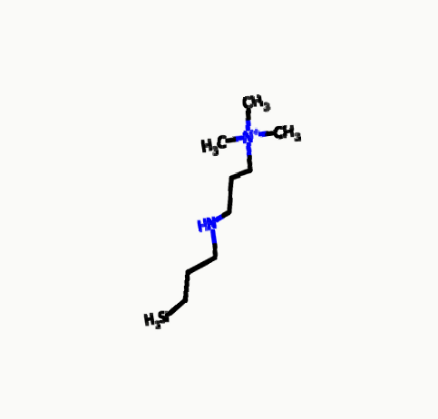 C[N+](C)(C)CCCNCCC[SiH3]